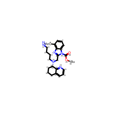 COc1cccc2c1nc(CN(CCCCN)[C@H]1CCCc3cccnc31)n2C(=O)OC(C)(C)C